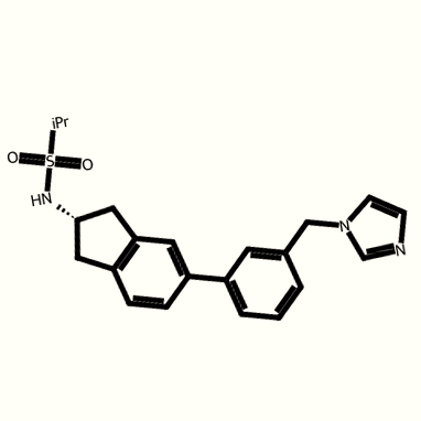 CC(C)S(=O)(=O)N[C@H]1Cc2ccc(-c3cccc(Cn4ccnc4)c3)cc2C1